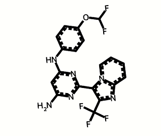 Nc1cc(Nc2ccc(OC(F)F)cc2)nc(-c2c(C(F)(F)F)nc3ccccn23)n1